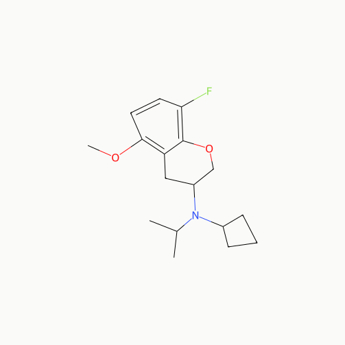 COc1ccc(F)c2c1CC(N(C(C)C)C1CCC1)CO2